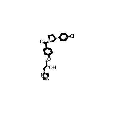 O=C(c1ccc(OC[C@H](O)Cn2cncn2)cc1)N1CC[C@H](c2ccc(Cl)cc2)C1